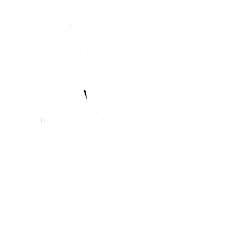 CCC(C)(C)C(=O)OCC1C(COCc2ccccc2)C2CC(C)[C@@]1(C=O)O2